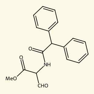 COC(=O)C(C=O)NC(=O)C(c1ccccc1)c1ccccc1